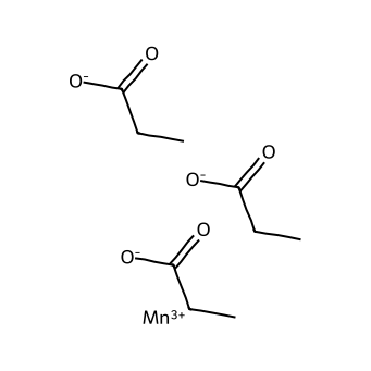 CCC(=O)[O-].CCC(=O)[O-].CCC(=O)[O-].[Mn+3]